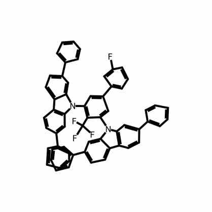 Fc1cccc(-c2cc(-n3c4cc(-c5ccccc5)ccc4c4ccc(-c5ccccc5)cc43)c(C(F)(F)F)c(-n3c4cc(-c5ccccc5)ccc4c4ccc(-c5ccccc5)cc43)c2)c1